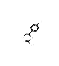 O=C(O)NC(CO)c1ccc(Cl)cc1